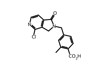 Cc1cc(CN2Cc3c(ccnc3Cl)C2=O)ccc1C(=O)O